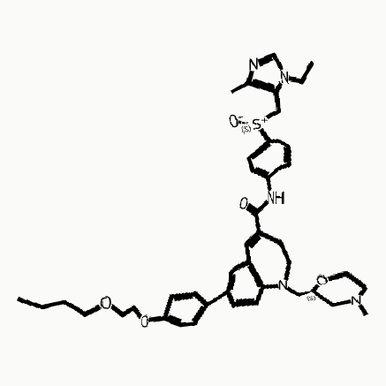 CCCCOCCOc1ccc(-c2ccc3c(c2)C=C(C(=O)Nc2ccc([S@+]([O-])Cc4c(C)ncn4CC)cc2)CCN3C[C@@H]2CN(C)CCO2)cc1